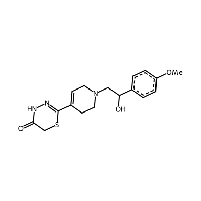 COc1ccc(C(O)CN2CC=C(C3=NNC(=O)CS3)CC2)cc1